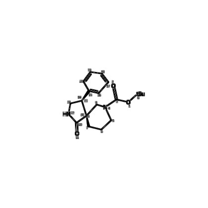 CC(C)(C)OC(=O)N1CCC[C@@]2(C1)C(=O)NC[C@H]2c1ccccc1